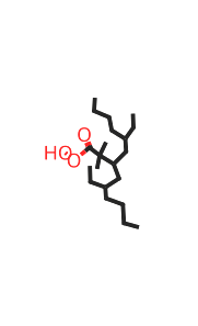 CCCCC(CC)CC(CC(CC)CCCC)C(C)(C)C(=O)OO